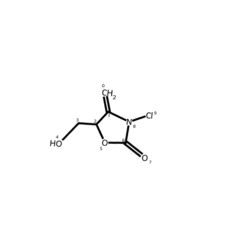 C=C1C(CO)OC(=O)N1Cl